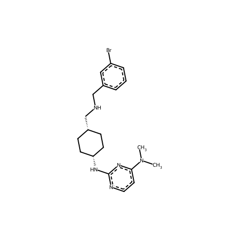 CN(C)c1ccnc(N[C@H]2CC[C@@H](CNCc3cccc(Br)c3)CC2)n1